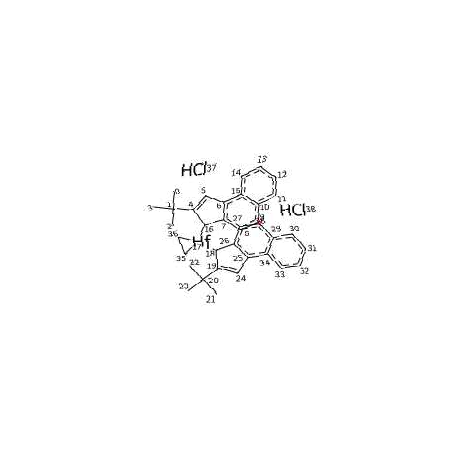 CC(C)(C)C1=Cc2c(ccc3ccccc23)[CH]1[Hf]1([CH]2C(C(C)(C)C)=Cc3c2ccc2ccccc32)[CH2][CH2]1.Cl.Cl